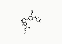 CCOC(=O)c1cc2c(-c3ccc(OC4CCOCC4)c(C#N)c3)ccnc2[nH]1